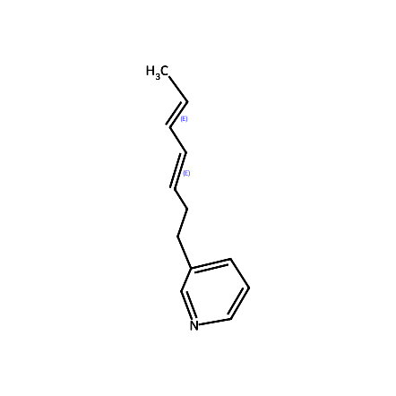 C/C=C/C=C/CCc1cccnc1